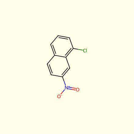 O=[N+]([O-])c1ccc2cccc(Cl)c2c1